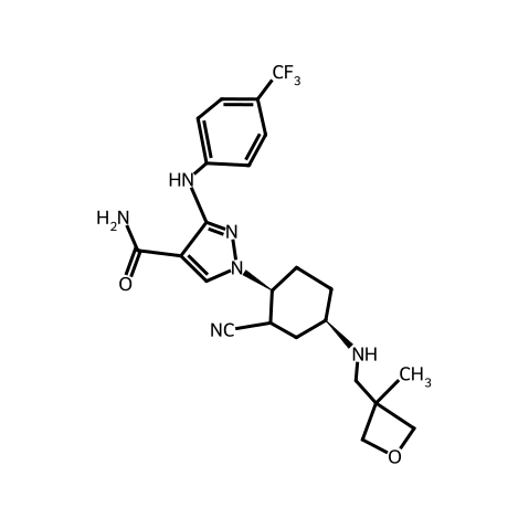 CC1(CN[C@@H]2CC[C@H](n3cc(C(N)=O)c(Nc4ccc(C(F)(F)F)cc4)n3)C(C#N)C2)COC1